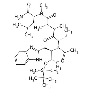 CC[C@@H](C(=O)N(C)[C@H](C)C(=O)N(C)[C@@H](CC(C)C)C(N)=O)N(C(C)=O)[C@H](Cc1nc2ccccc2[nH]1)[C@H](C)O[Si](C)(C)C(C)(C)C